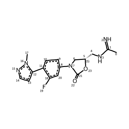 CC(=N)NC[C@H]1CN(c2ccc(-c3ccnn3C)c(F)c2)C(=O)O1